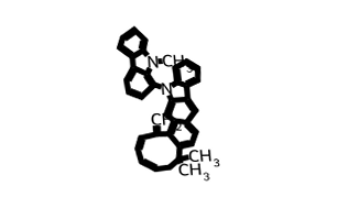 C=C1/C=C\C=C/CC(C)(C)c2ccc3cc4c5ccccc5n(-c5cccc6c7ccccc7n(C)c56)c4cc3c21